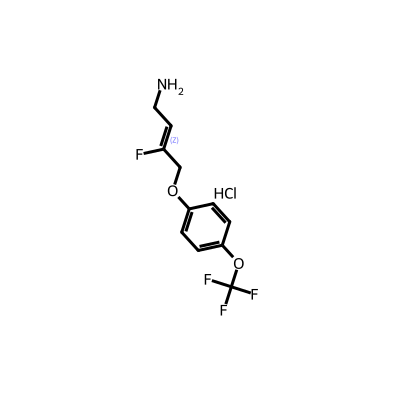 Cl.NC/C=C(\F)COc1ccc(OC(F)(F)F)cc1